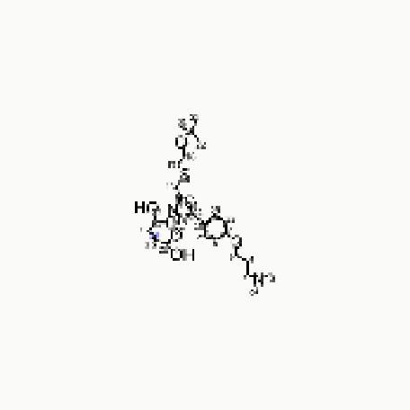 CN(C)CCCOc1ccc(-c2nnc(CSCCOC(C)(C)C)o2)cc1.O=C(O)/C=C\C(=O)O